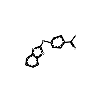 O=C(I)c1ccc(Nc2nc3ccccc3o2)cc1